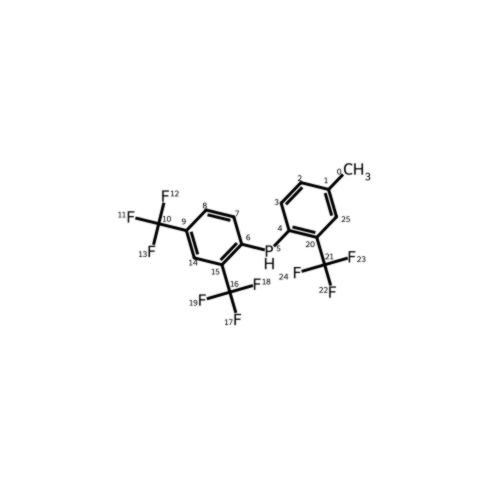 Cc1ccc(Pc2ccc(C(F)(F)F)cc2C(F)(F)F)c(C(F)(F)F)c1